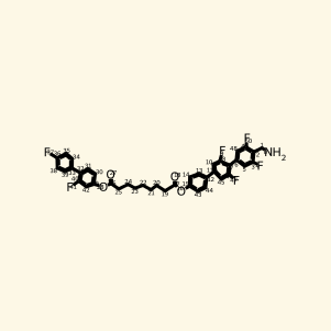 NCc1c(F)cc(-c2c(F)cc(-c3ccc(OC(=O)CCCCCCCC(=O)Oc4ccc(-c5ccc(F)cc5)c(F)c4)cc3)cc2F)cc1F